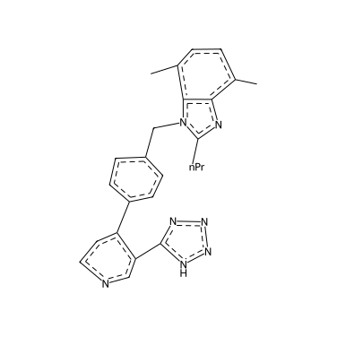 CCCc1nc2c(C)ccc(C)c2n1Cc1ccc(-c2ccncc2-c2nnn[nH]2)cc1